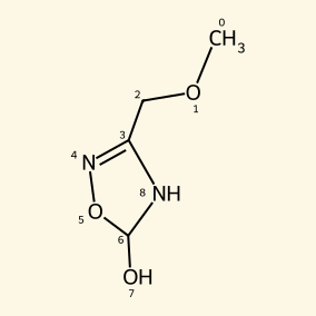 COCC1=NOC(O)N1